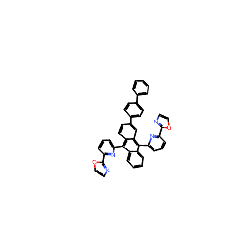 c1ccc(-c2ccc(-c3ccc4c(-c5cccc(-c6ncco6)n5)c5ccccc5c(-c5cccc(-c6ncco6)n5)c4c3)cc2)cc1